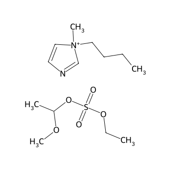 CCCC[N+]1(C)C=CN=C1.CCOS(=O)(=O)OC(C)OC